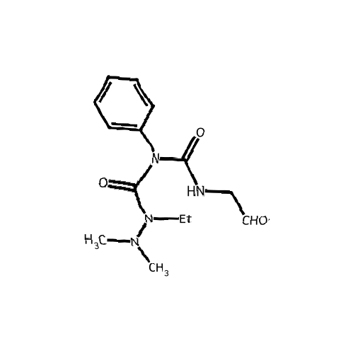 CCN(C(=O)N(C(=O)NC[C]=O)c1ccccc1)N(C)C